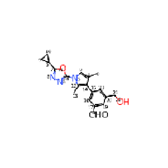 Cc1cn(-c2nnc(C3CC3)o2)c(C)c1-c1cc(C=O)cc(CO)c1